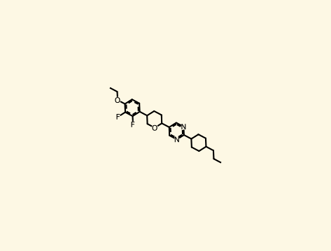 CCCC1CCC(c2ncc(C3CCC(c4ccc(OCC)c(F)c4F)CO3)cn2)CC1